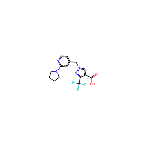 O=C(O)c1cn(Cc2ccnc(N3CCCC3)c2)nc1C(F)(F)F